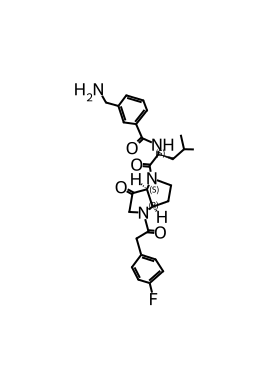 CC(C)C[C@H](NC(=O)c1cccc(CN)c1)C(=O)N1CC[C@@H]2[C@H]1C(=O)CN2C(=O)Cc1ccc(F)cc1